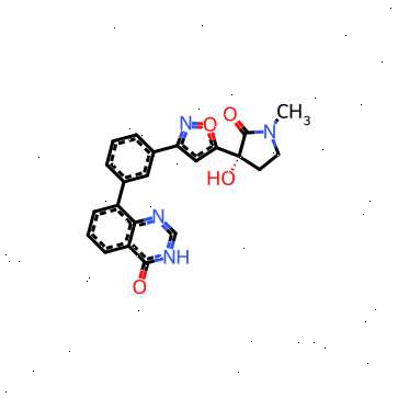 CN1CC[C@@](O)(c2cc(-c3cccc(-c4cccc5c(=O)[nH]cnc45)c3)no2)C1=O